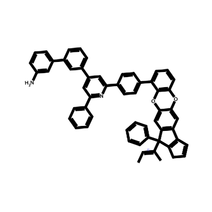 C/C=C(\C)C1(c2ccccc2)C2=C(C=CC2)c2cc3c(cc21)Oc1c(cccc1-c1ccc(-c2cc(-c4cccc(-c5cccc(N)c5)c4)cc(-c4ccccc4)n2)cc1)O3